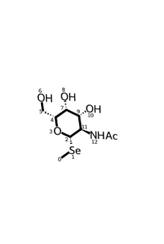 C[Se][C@@H]1O[C@H](CO)[C@H](O)[C@H](O)[C@H]1NC(C)=O